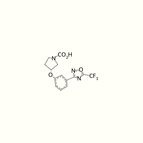 O=C(O)N1CC[C@@H](Oc2cccc(-c3noc(C(F)(F)F)n3)c2)C1